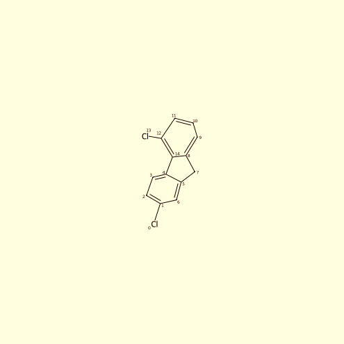 Clc1ccc2c(c1)Cc1cccc(Cl)c1-2